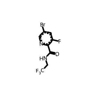 O=C(NCC(F)(F)F)c1ncc(Br)cc1F